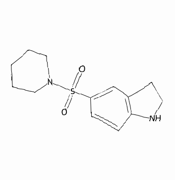 O=S(=O)(c1ccc2c(c1)CCN2)N1CCCCC1